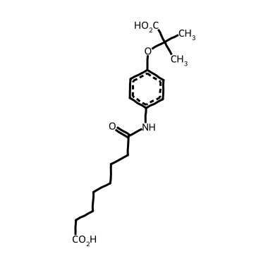 CC(C)(Oc1ccc(NC(=O)CCCCCCC(=O)O)cc1)C(=O)O